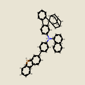 c1ccc2c(c1)-c1ccc(N(c3ccc(-c4ccc5c(c4)sc4ccccc45)cc3)c3cccc4ccccc34)cc1C21C2CC3CC(C2)CC1C3